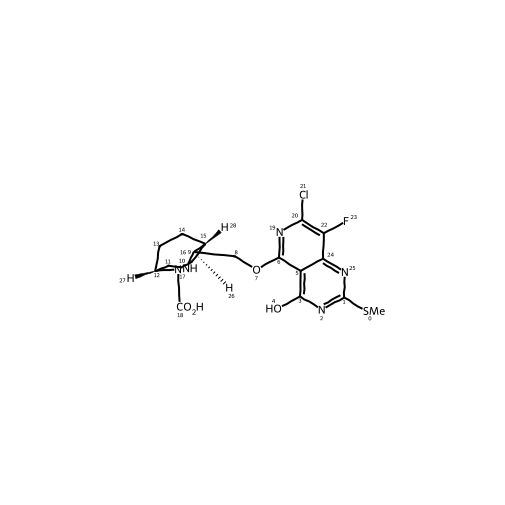 CSc1nc(O)c2c(OC[C@H]3NC[C@H]4CC[C@@H]3CN4C(=O)O)nc(Cl)c(F)c2n1